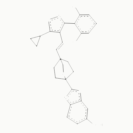 O=C(O)c1ccc2nc(C34CCC(C=Cc5c(-c6c(Cl)cccc6Cl)noc5C5CC5)(CC3)CC4)sc2c1